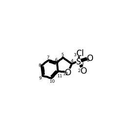 O=S(=O)(Cl)C1Cc2ccccc2O1